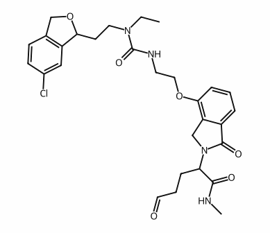 CCN(CCC1OCc2ccc(Cl)cc21)C(=O)NCCOc1cccc2c1CN(C(CCC=O)C(=O)NC)C2=O